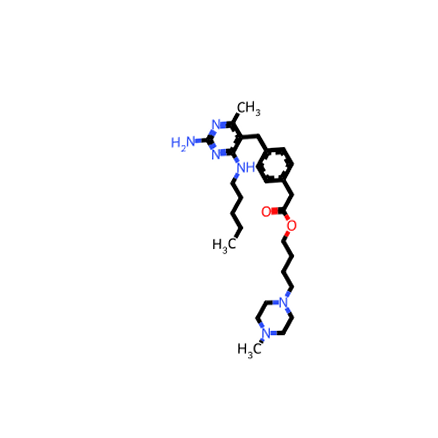 CCCCCNc1nc(N)nc(C)c1Cc1ccc(CC(=O)OCCCCN2CCN(C)CC2)cc1